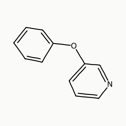 c1ccc(Oc2cccnc2)cc1